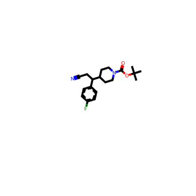 CC(C)(C)OC(=O)N1CCC(C(CC#N)c2ccc(F)cc2)CC1